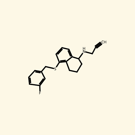 C#CCNC1CCCc2c(SCc3cccc(F)c3)cccc21